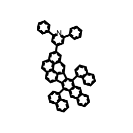 c1ccc(-c2cc(-c3cc4ccc5ccc6c7c(cc(c3)c4c57)-c3c-6c(-c4cccc5ccccc45)c4cc5ccccc5cc4c3-c3cccc4ccccc34)cc(-c3ccccc3)n2)cc1